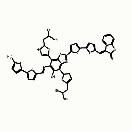 CCCCC(CC)CC1=CCC(c2c(S)c(/N=C/c3ccc(-c4ccc(C)s4)s3)c(C3=CNC(CC(CC)CCCC)S3)c3sc(-c4ccc(-c5ccc(/C=C6/C(=O)Oc7ccccc76)s5)s4)nc23)S1